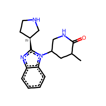 CC1CC(n2c([C@H]3CCNC3)nc3ccccc32)CNC1=O